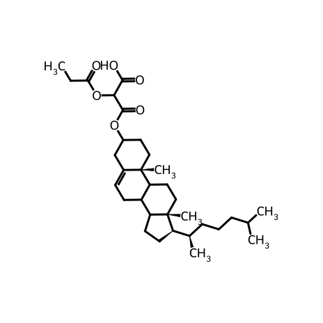 CCC(=O)OC(C(=O)O)C(=O)OC1CC[C@@]2(C)C(=CCC3C2CC[C@@]2(C)C3CC[C@@H]2[C@H](C)CCCC(C)C)C1